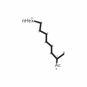 CCCCCCCCCCCCC(C)C(C)=O